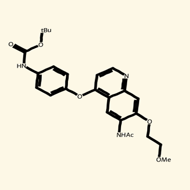 COCCOc1cc2nccc(Oc3ccc(NC(=O)OC(C)(C)C)cc3)c2cc1NC(C)=O